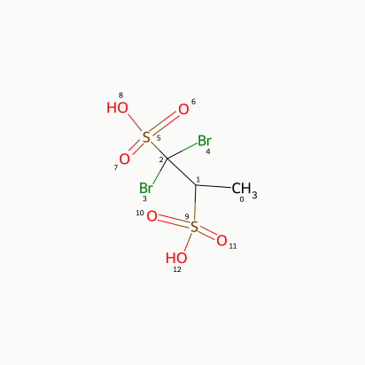 CC(C(Br)(Br)S(=O)(=O)O)S(=O)(=O)O